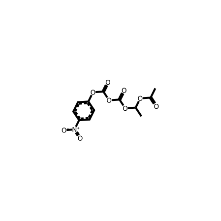 CC(=O)OC(C)OC(=O)OC(=O)Oc1ccc([N+](=O)[O-])cc1